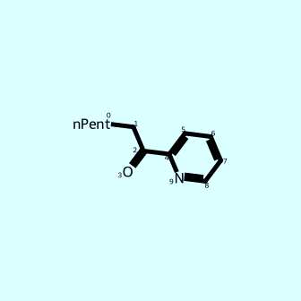 CCCCCCC(=O)c1ccccn1